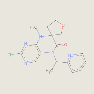 CC(c1ccccn1)N1C(=O)C2(CCOC2)N(C)c2nc(Cl)ncc21